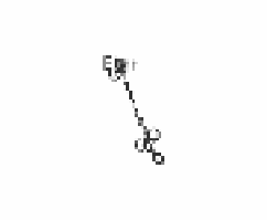 CCN(CC)C(=O)CCCCCCCCCCCCCCC(=O)C(=O)OCc1ccccc1